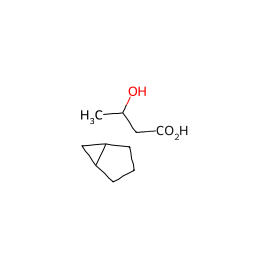 C1CC2CC2C1.CC(O)CC(=O)O